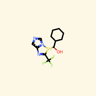 O[C@H](C1CCCCC1)[SH]1C(C(F)(F)F)=Nc2cncn21